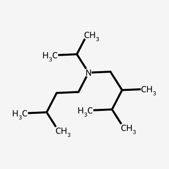 CC(C)CCN(CC(C)C(C)C)C(C)C